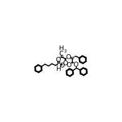 C[C@H](O[PH](=O)CCCCc1ccccc1)C(=O)O[C@@H](Cc1ccccc1)C(=O)OC(c1ccccc1)c1ccccc1